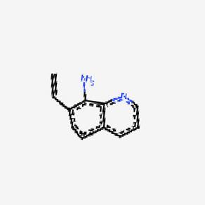 C=Cc1ccc2cccnc2c1N